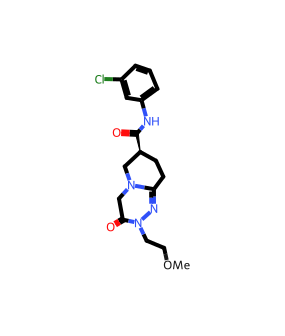 COCCN1N=C2CC[C@H](C(=O)Nc3cccc(Cl)c3)CN2CC1=O